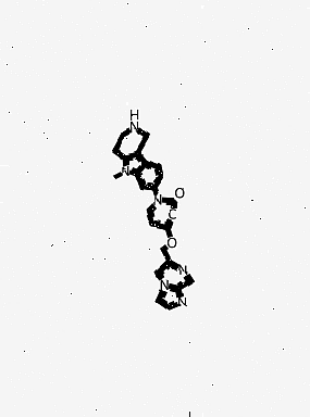 Cn1c2c(c3ccc(-n4ccc(OCc5cn6ccnc6cn5)cc4=O)cc31)CNCC2